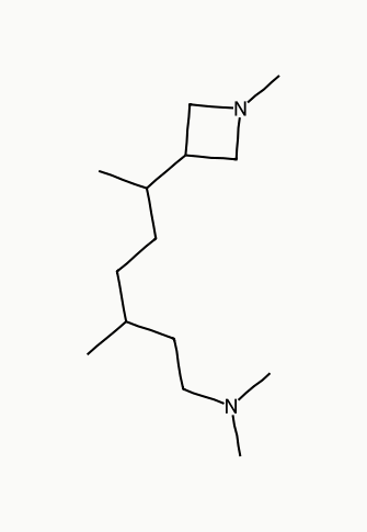 CC(CCC(C)C1CN(C)C1)CCN(C)C